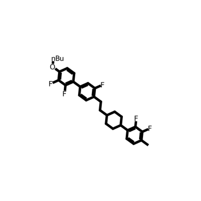 CCCCOc1ccc(-c2ccc(CCC3CCC(c4ccc(C)c(F)c4F)CC3)c(F)c2)c(F)c1F